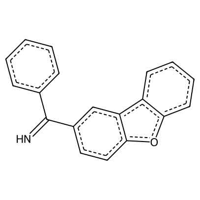 N=C(c1ccccc1)c1ccc2oc3ccccc3c2c1